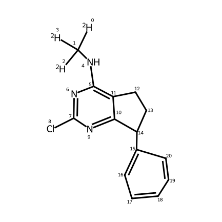 [2H]C([2H])([2H])Nc1nc(Cl)nc2c1CCC2c1ccccc1